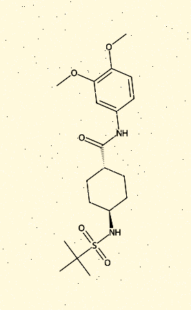 COc1ccc(NC(=O)[C@H]2CC[C@H](NS(=O)(=O)C(C)(C)C)CC2)cc1OC